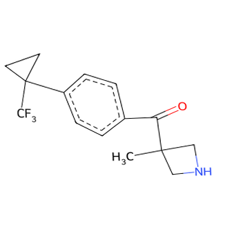 CC1(C(=O)c2ccc(C3(C(F)(F)F)CC3)cc2)CNC1